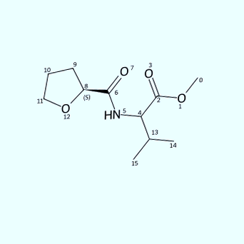 COC(=O)C(NC(=O)[C@@H]1CCCO1)C(C)C